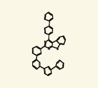 c1ccc(-c2ccc(-c3nc(-c4cccc(-c5cccc(-c6cccc(-c7ccccc7)c6)c5)c4)nc4sc5ccccc5c34)cc2)cc1